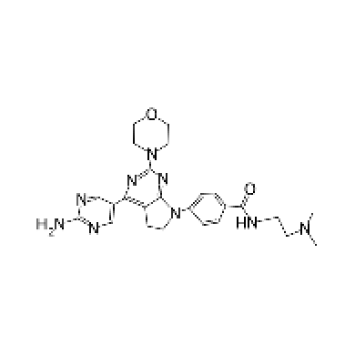 CN(C)CCNC(=O)c1ccc(N2CCc3c(-c4cnc(N)nc4)nc(N4CCOCC4)nc32)cc1